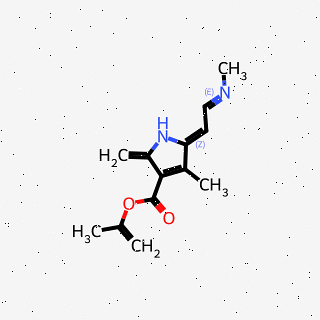 C=C(C)OC(=O)c1c(C)/c(=C/C=N/C)[nH]c1=C